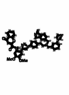 COc1cc(NC(=O)c2cc(=O)c3ccccc3o2)c(-c2nnn(-c3ccc(CCN(Cc4cccc(-n5ccnc5)c4)Cc4ccc5c(cnn5C)c4)cc3)n2)cc1OC